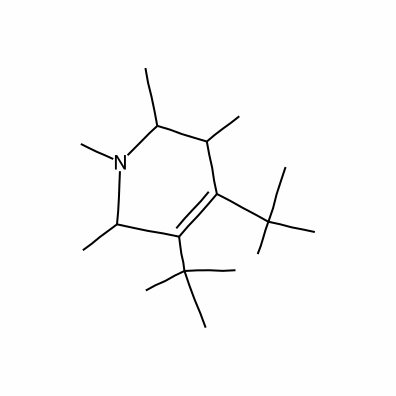 CC1C(C(C)(C)C)=C(C(C)(C)C)C(C)N(C)C1C